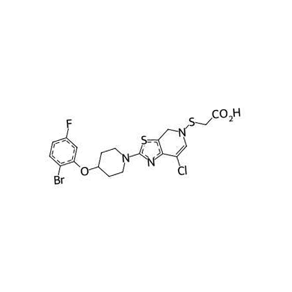 O=C(O)CSN1C=C(Cl)c2nc(N3CCC(Oc4cc(F)ccc4Br)CC3)sc2C1